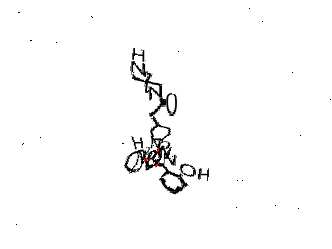 Nc1nnc(-c2ccccc2O)cc1N1CC2CCC(C1)N2c1cccc(OC2CCC(CC(=O)N3CC4(CNC4)C3)CC2)c1